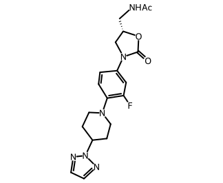 CC(=O)NC[C@H]1CN(c2ccc(N3CCC(n4nccn4)CC3)c(F)c2)C(=O)O1